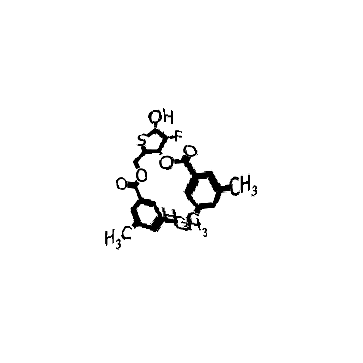 Cc1cc(C)cc(C(=O)OCC2S[C@H](O)[C@@H](F)[C@@H]2OC(=O)c2cc(C)cc(C)c2)c1